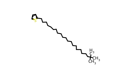 CC(C)(C)CCCCCCCCCCCCCCCCCCCCc1cccs1